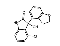 O=C1Nc2cccc(Cl)c2C1(O)c1cccc2c1OCO2